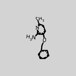 Cc1ccc(OCc2ccccc2)c(N)n1